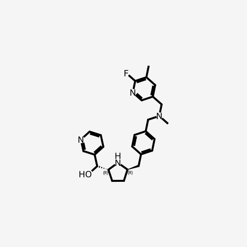 Cc1cc(CN(C)Cc2ccc(C[C@H]3CC[C@H](C(O)c4cccnc4)N3)cc2)cnc1F